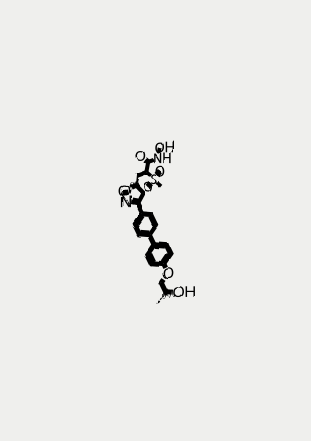 C[C@@H](O)COc1ccc(-c2ccc(C3=NO[C@@H](CC(C(=O)NO)S(C)(=O)=O)C3)cc2)cc1